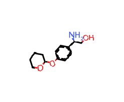 N[C@@H](CO)c1ccc(OC2CCCCO2)cc1